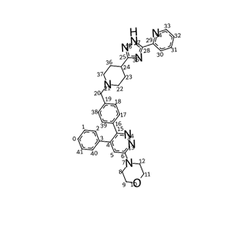 c1ccc(-c2cc(N3CCOCC3)nnc2-c2ccc(CN3CCC(c4n[nH]c(-c5ccccn5)n4)CC3)cc2)cc1